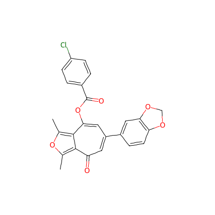 Cc1oc(C)c2c(=O)cc(-c3ccc4c(c3)OCO4)cc(OC(=O)c3ccc(Cl)cc3)c12